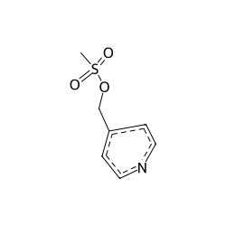 CS(=O)(=O)OCc1ccncc1